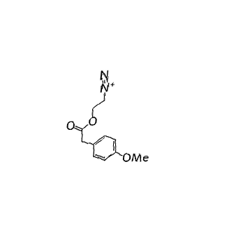 COc1ccc(CC(=O)OCC[N+]#N)cc1